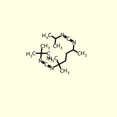 CC(C)N=C=NC(C)CCC(C)(C)N=C=NC(C)(C)C